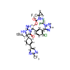 CC(C)(C)C[C@]1(C2C=CC(c3cnc(C(F)(F)F)nc3)=CC2)NC(=N)N([C@H](COC(=O)NC2(C(F)(F)F)CC2)c2ccc(Cl)c(-c3ncnn3C(F)F)c2)C1=O